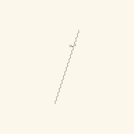 CCCCCCCCCCCCCCCCCCCCCCCCCCCC(=O)OCCCCCCC